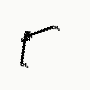 CCCCCCCCCCCCCCCC(=S)NCC(CS)NC(=S)CCCCCCCCCCCCCCC